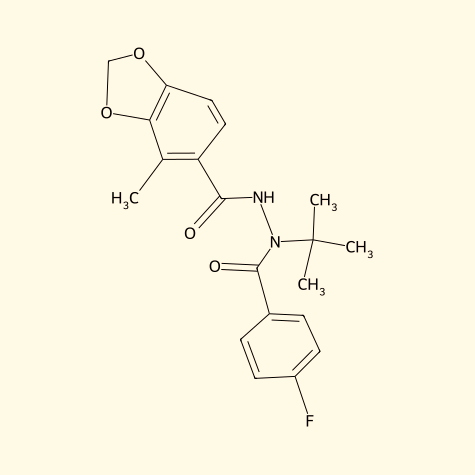 Cc1c(C(=O)NN(C(=O)c2ccc(F)cc2)C(C)(C)C)ccc2c1OCO2